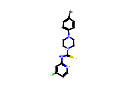 O=[N+]([O-])c1ccc(N2CCN(C(=S)Nc3cc(Cl)ccn3)CC2)cc1